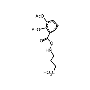 CC(=O)Oc1cccc(C(=O)ONCCCC(=O)O)c1OC(C)=O